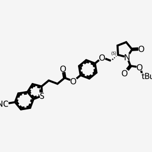 CC(C)(C)OC(=O)N1C(=O)CC[C@H]1COc1ccc(OC(=O)CCc2cc3cc(C#N)ccc3s2)cc1